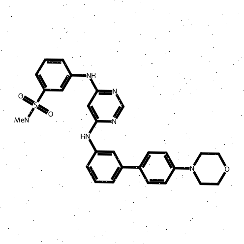 CNS(=O)(=O)c1cccc(Nc2cc(Nc3cccc(-c4ccc(N5CCOCC5)cc4)c3)ncn2)c1